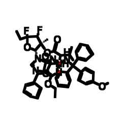 CCOc1nc(NC(c2ccccc2)(c2ccccc2)c2ccc(OC)cc2)nc2c1ncn2[C@@H]1O[C@](F)(CC)[C@@H](F)[C@@]1(C)OC(=O)C(NC(=O)OCc1ccccc1)C(C)C